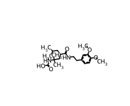 COc1ccc(CCNC(=O)[C@H](CC(C)C)CC(C)(C)NC(=O)O)cc1OC